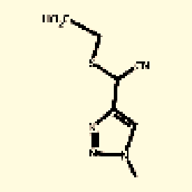 Cn1cc(C(C#N)SCC(=O)O)nn1